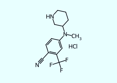 CN(c1ccc(C#N)c(C(F)(F)F)c1)C1CCCNC1.Cl